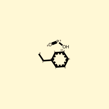 C[CH]c1ccccc1.O=PO